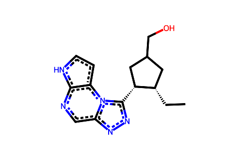 CC[C@H]1CC(CO)C[C@H]1c1nnc2cnc3[nH]ccc3n12